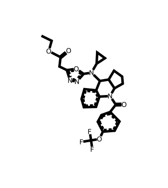 CCOC(=O)Cc1nnc(N(C2CC2)C2c3ccccc3N(C(=O)c3ccc(OC(F)(F)F)cc3)C3CCCC32)o1